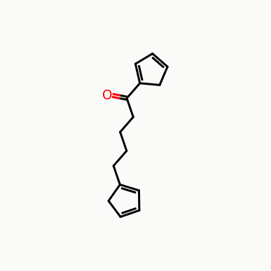 O=C(CCCCC1=CC=CC1)C1=CC=CC1